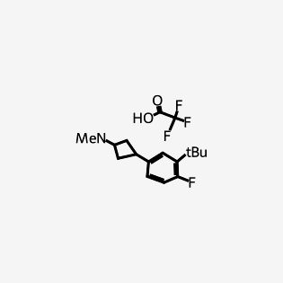 CNC1CC(c2ccc(F)c(C(C)(C)C)c2)C1.O=C(O)C(F)(F)F